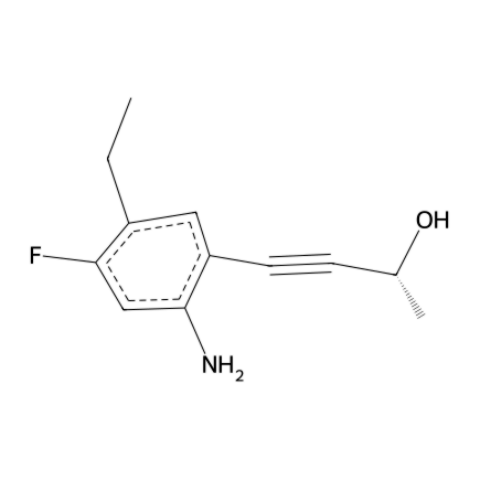 CCc1cc(C#C[C@@H](C)O)c(N)cc1F